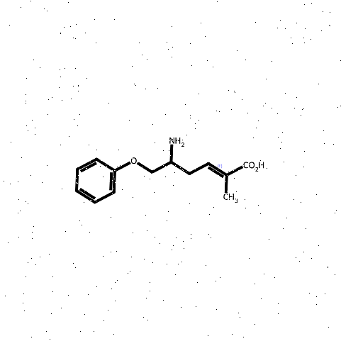 C/C(=C\CC(N)COc1ccccc1)C(=O)O